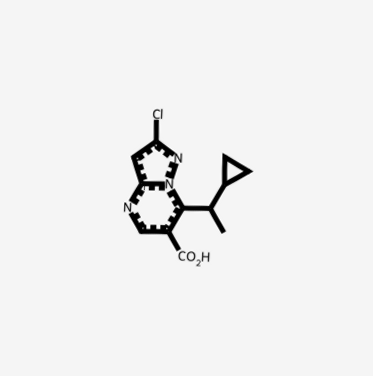 CC(c1c(C(=O)O)cnc2cc(Cl)nn12)C1CC1